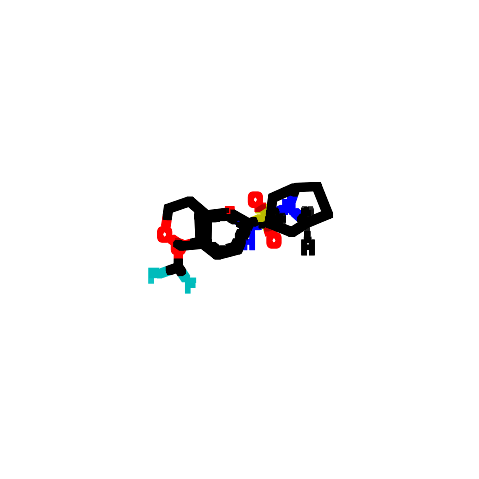 O=S(=O)(c1ccc(OC(F)F)cc1)N1C2CC[C@H]1C[C@H](NCC1CCOCC1)C2